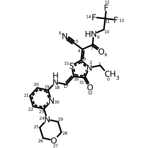 CCn1c(=C(C#N)C(=O)NCC(F)(F)F)sc(=CNc2cccc(N3CCOCC3)n2)c1=O